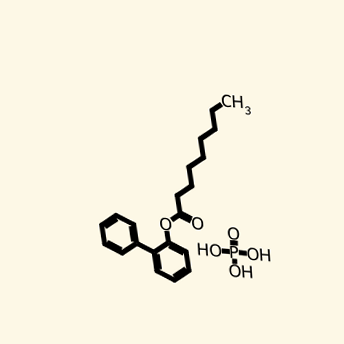 CCCCCCCCC(=O)Oc1ccccc1-c1ccccc1.O=P(O)(O)O